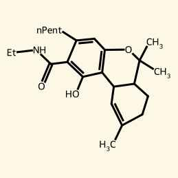 CCCCCc1cc2c(c(O)c1C(=O)NCC)C1C=C(C)CCC1C(C)(C)O2